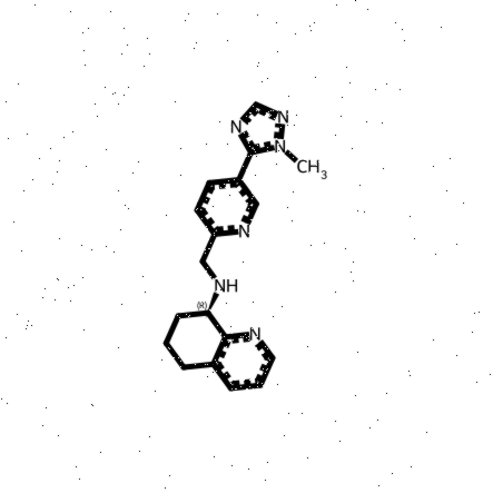 Cn1ncnc1-c1ccc(CN[C@@H]2CCCc3cccnc32)nc1